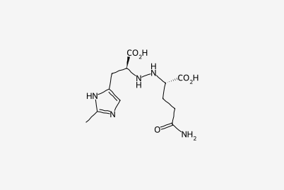 Cc1ncc(C[C@H](NN[C@@H](CCC(N)=O)C(=O)O)C(=O)O)[nH]1